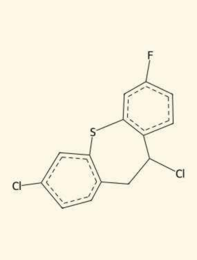 Fc1ccc2c(c1)Sc1cc(Cl)ccc1CC2Cl